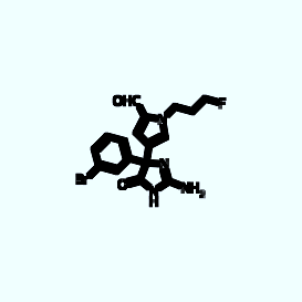 NC1=NC(c2cccc(Br)c2)(c2cc(C=O)n(CCCF)c2)C(=O)N1